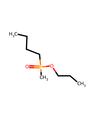 CCCCP(C)(=O)OCCC